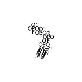 O=P([O-])([O-])F.O=P([O-])([O-])F.O=P([O-])([O-])F.O=P([O-])([O-])F.[Mg+2].[Mg+2].[Mg+2].[Mg+2]